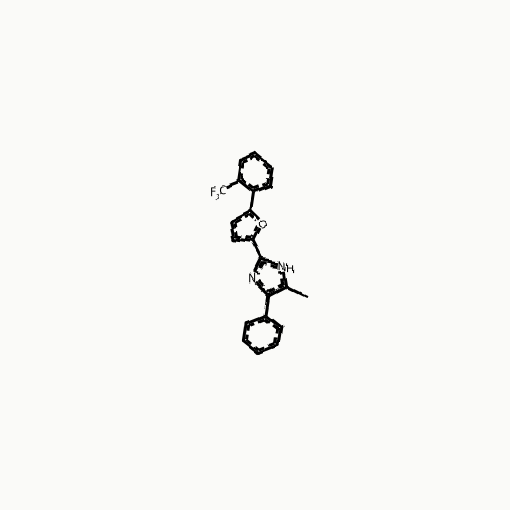 Cc1[nH]c(-c2ccc(-c3ccccc3C(F)(F)F)o2)nc1-c1ccccc1